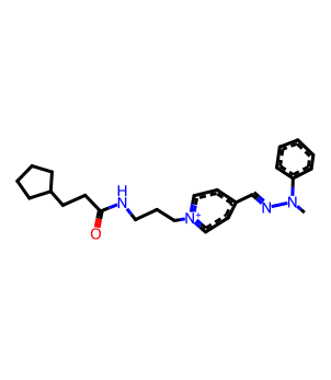 CN(/N=C/c1cc[n+](CCCNC(=O)CCC2CCCC2)cc1)c1ccccc1